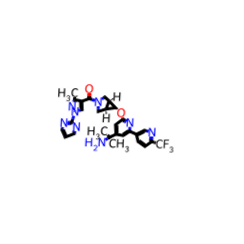 Cc1nn(-c2ncccn2)cc1C(=O)N1C[C@@H]2[C@H](C1)[C@@H]2Oc1cc(C(C)(C)N)cc(-c2ccc(C(F)(F)F)nc2)n1